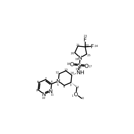 COC[C@@H]1CN(c2cccnn2)CC[C@@H]1NS(=O)(=O)N1CCC(F)(F)C1